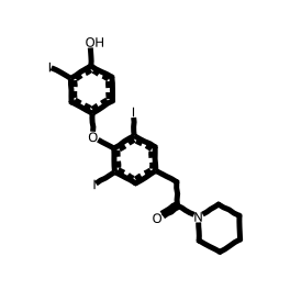 O=C(Cc1cc(I)c(Oc2ccc(O)c(I)c2)c(I)c1)N1CCCCC1